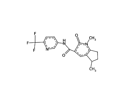 CC1CCc2c1cc(C(=O)Nc1ccc(C(F)(F)F)nc1)c(=O)n2C